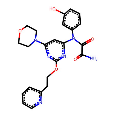 NC(=O)C(=O)N(c1cccc(O)c1)c1cc(N2CCOCC2)nc(OCCc2ccccn2)n1